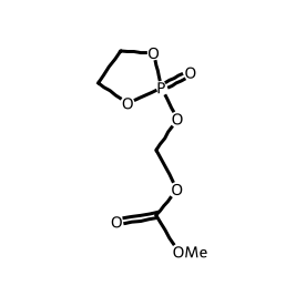 COC(=O)OCOP1(=O)OCCO1